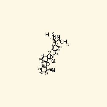 Cc1nn(C)cc1-c1ccc(CN2Cc3cccc(Oc4c(F)cccc4C#N)c3C2=O)cc1